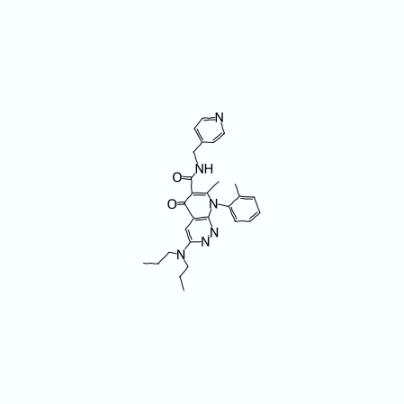 CCCN(CCC)c1cc2c(=O)c(C(=O)NCc3ccncc3)c(C)n(-c3ccccc3C)c2nn1